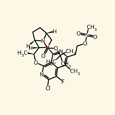 Cc1c(CCOS(C)(=O)=O)nc2c3c(nc(Cl)c(F)c13)O[C@@H](C)[C@@H]1[C@@H]3CC[C@H](CN21)N3C(=O)OC(C)(C)C